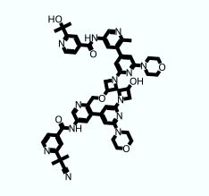 Cc1ncc(NC(=O)c2ccnc(C(C)(C)O)c2)cc1-c1cc(N2CCOCC2)nc(N2CC(OCc3ncc(NC(=O)c4ccnc(C(C)(C)C#N)c4)cc3-c3cc(N4CCOCC4)nc(N4CC(O)C4)c3)C2)c1